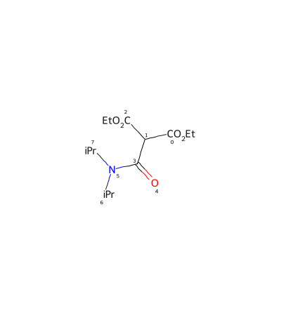 CCOC(=O)C(C(=O)OCC)C(=O)N(C(C)C)C(C)C